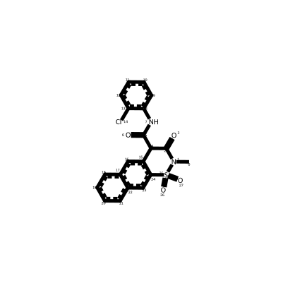 CN1C(=O)C(C(=O)Nc2ccccc2Cl)c2cc3ccccc3cc2S1(=O)=O